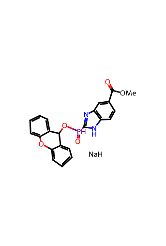 COC(=O)c1ccc2[nH]c([PH](=O)OC3c4ccccc4Oc4ccccc43)nc2c1.[NaH]